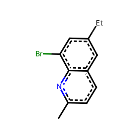 CCc1cc(Br)c2nc(C)ccc2c1